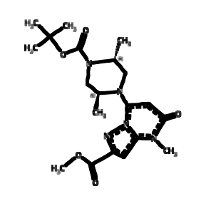 COC(=O)c1cc2n(C)c(=O)cc(N3C[C@@H](C)N(C(=O)OC(C)(C)C)C[C@@H]3C)n2n1